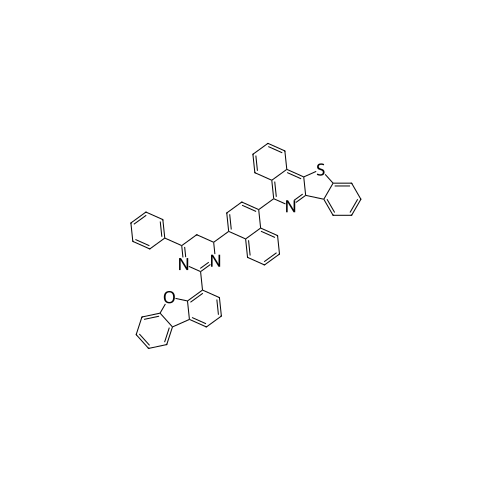 c1ccc(C2=NC(c3cccc4c3oc3ccccc34)=NC(c3ccc(-c4nc5c6ccccc6sc5c5ccccc45)c4ccccc34)C2)cc1